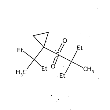 CCC(C)(CC)C1(S(=O)(=O)C(C)(CC)CC)CC1